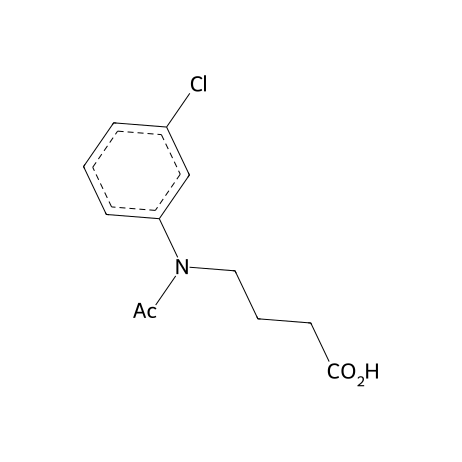 CC(=O)N(CCCC(=O)O)c1cccc(Cl)c1